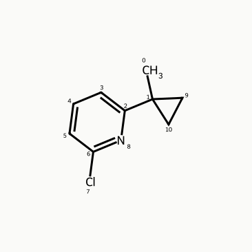 CC1(c2cccc(Cl)n2)CC1